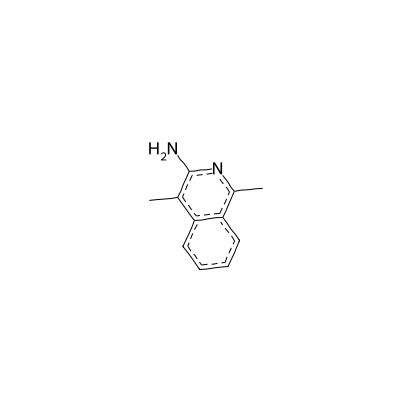 Cc1nc(N)c(C)c2ccccc12